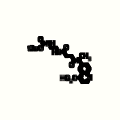 CN(C(=O)CCC(=O)NCCNC(=O)OC(C)(C)C)c1ccc2nccc(C(=O)O)c2c1